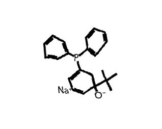 CC(C)(C)C1([O-])C=CC=C(P(c2ccccc2)c2ccccc2)C1.[Na+]